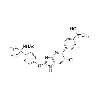 CC(=O)NC(C)(C)c1ccc(Oc2nc3nc(-c4ccc([C@H](C)O)cc4)c(Cl)cc3[nH]2)cc1